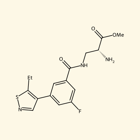 CCc1sncc1-c1cc(F)cc(C(=O)NC[C@@H](N)C(=O)OC)c1